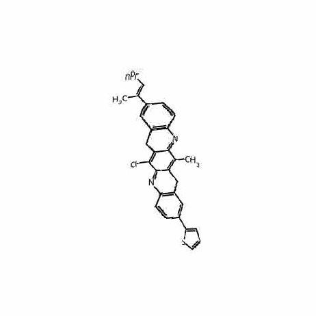 CCC/C=C(\C)c1ccc2c(c1)Cc1c(Cl)c3c(c(C)c1=N2)Cc1cc(-c2cccs2)ccc1N=3